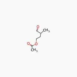 CC(=O)OCCC(C)C=O